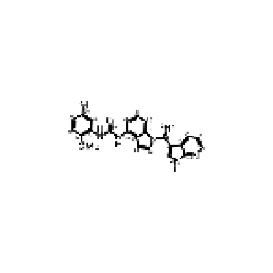 [2H]C(c1c[nH]c2ncccc12)n1ccc2c(NC(=O)Nc3cc(Cl)ccc3OC)cccc21